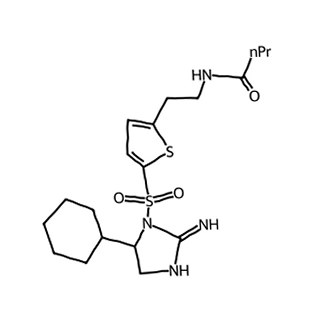 CCCC(=O)NCCc1ccc(S(=O)(=O)N2C(=N)NCC2C2CCCCC2)s1